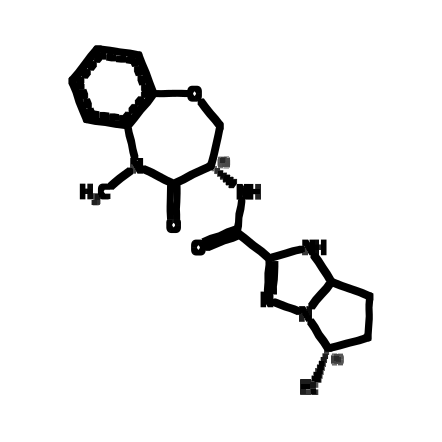 CC[C@H]1CCC2NC(C(=O)N[C@H]3COc4ccccc4N(C)C3=O)=NN21